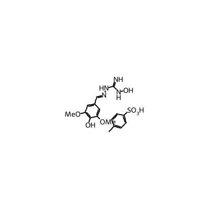 COc1cc(C=NNC(=N)NO)cc(OC)c1O.Cc1ccc(S(=O)(=O)O)cc1